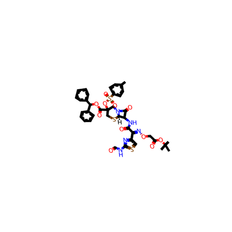 Cc1ccc(S(=O)(=O)OC2(C(=O)OC(c3ccccc3)c3ccccc3)CS[C@@H]3C(NC(=O)C(=NOCC(=O)OC(C)(C)C)c4csc(NC=O)n4)C(=O)N3C2)cc1